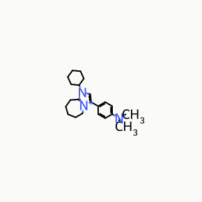 CN(C)c1ccc(-c2cn(C3CCCCC3)c3[n+]2CCCCC3)cc1